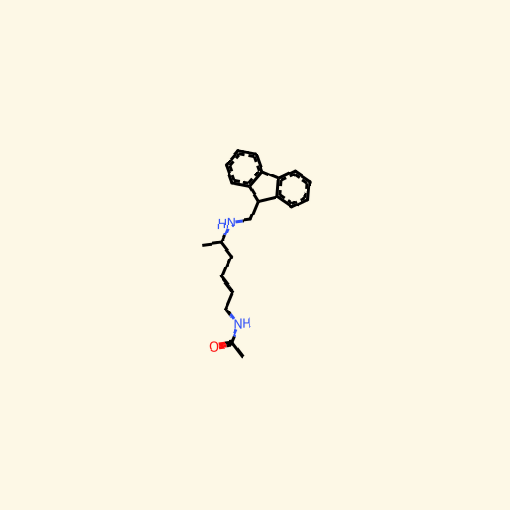 CC(=O)NCCCCC(C)NCC1c2ccccc2-c2ccccc21